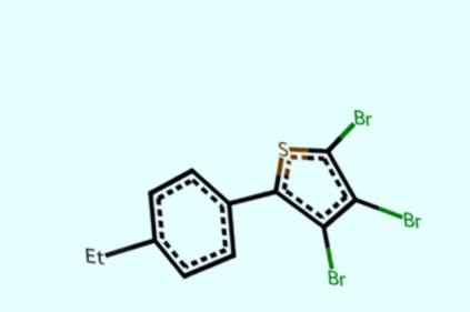 CCc1ccc(-c2sc(Br)c(Br)c2Br)cc1